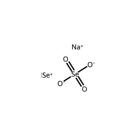 O=[Se](=O)([O-])[O-].[Na+].[Se+]